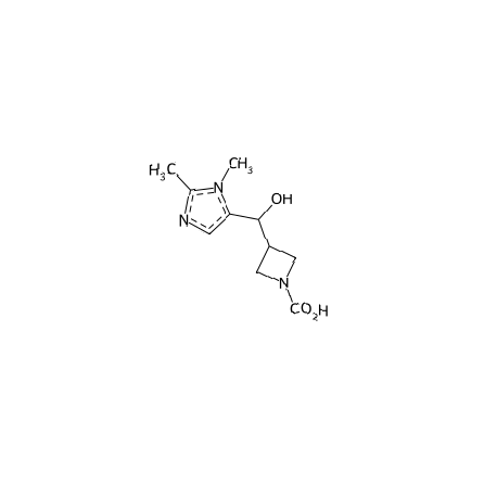 Cc1ncc(C(O)C2CN(C(=O)O)C2)n1C